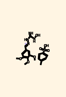 COc1cc(/C=N/NC(=N)NO)cc(OC)c1OC.Cc1ccc(S(=O)(=O)O)cc1